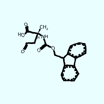 C[C@](CC=O)(NC(=O)OCC1c2ccccc2-c2ccccc21)C(=O)O